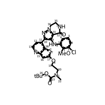 COc1c(Cl)cccc1Nc1c(-c2ccnc3cc(OCCN(C)C(=O)OC(C)(C)C)sc23)nn2c1C(=O)NCC2